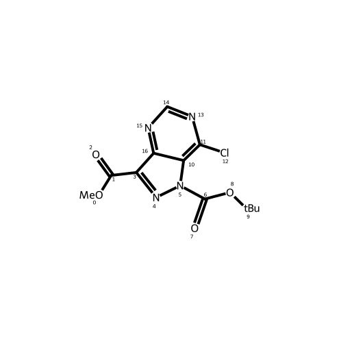 COC(=O)c1nn(C(=O)OC(C)(C)C)c2c(Cl)ncnc12